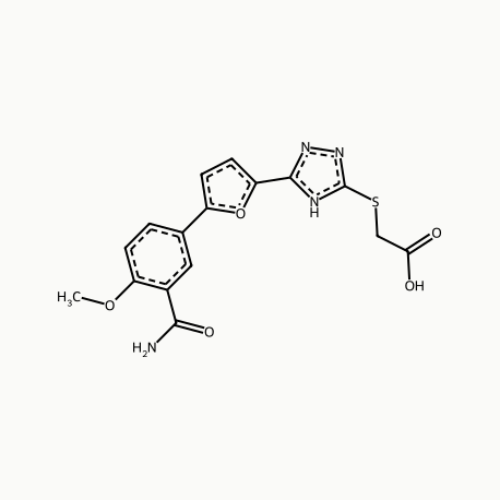 COc1ccc(-c2ccc(-c3nnc(SCC(=O)O)[nH]3)o2)cc1C(N)=O